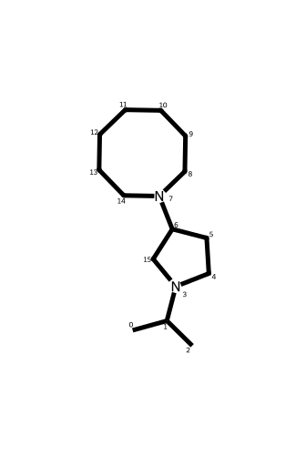 CC(C)N1CCC(N2CCCCCCC2)C1